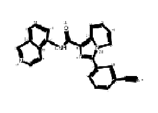 N#Cc1cccc(-c2nc(C(=O)Nc3cccc4cnccc34)c3ccccn23)c1